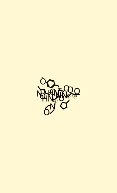 COc1ccc(C[C@H](NC(=O)[C@H](CN2CCOCC2)NC(=O)c2cc(C)no2)C(=O)N[C@@H](CC2CCCC2)C(=O)[C@]2(C)CO2)cc1